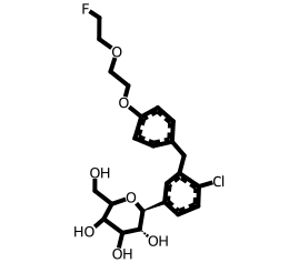 OCC1O[C@@H](c2ccc(Cl)c(Cc3ccc(OCCOCCF)cc3)c2)[C@H](O)C(O)C1O